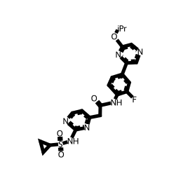 CC(C)Oc1cncc(-c2ccc(NC(=O)Cc3ccnc(NS(=O)(=O)C4CC4)n3)c(F)c2)n1